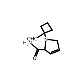 NC(=O)C1C=CCN1C1(C=O)CCC1